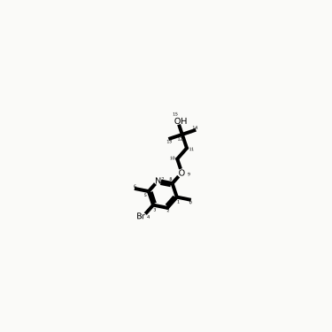 Cc1cc(Br)c(C)nc1OCCC(C)(C)O